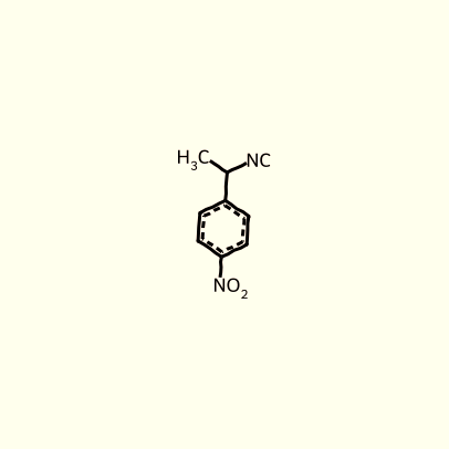 [C-]#[N+]C(C)c1ccc([N+](=O)[O-])cc1